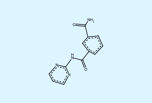 NC(=O)c1cccc(C(=O)Nc2ncccn2)c1